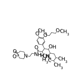 COCCCOc1cc(C(C(C)C(=O)NCCN2CCS(=O)(=O)CC2)C(O)C(N)CC(C)C(C)C)ccc1OC